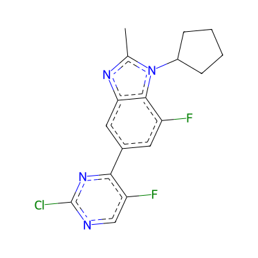 Cc1nc2cc(-c3nc(Cl)ncc3F)cc(F)c2n1C1CCCC1